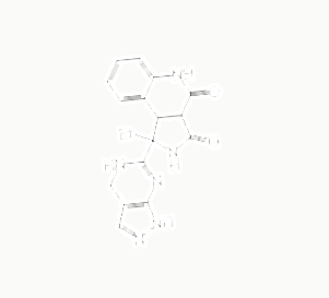 CCC1(C2=Nc3[nH]ncc3CN2)NC(=O)C2C(=O)Nc3ccccc3C21